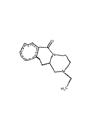 CCN1CCN2C(=O)c3ccccc3CC2C1